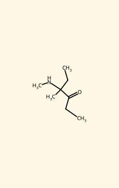 CCC(=O)C(C)(CC)NC